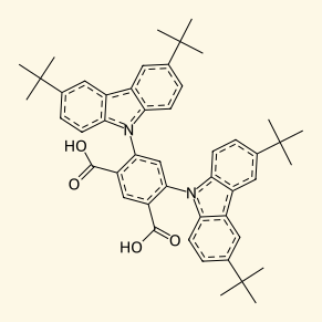 CC(C)(C)c1ccc2c(c1)c1cc(C(C)(C)C)ccc1n2-c1cc(-n2c3ccc(C(C)(C)C)cc3c3cc(C(C)(C)C)ccc32)c(C(=O)O)cc1C(=O)O